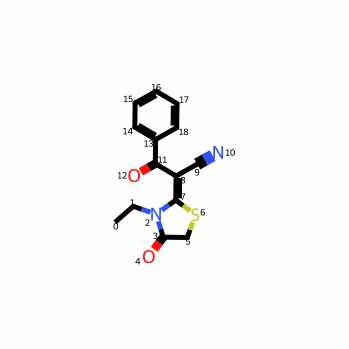 CCN1C(=O)CSC1=C(C#N)C(=O)c1ccccc1